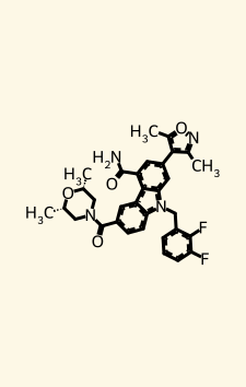 Cc1noc(C)c1-c1cc(C(N)=O)c2c3cc(C(=O)N4C[C@@H](C)O[C@@H](C)C4)ccc3n(Cc3cccc(F)c3F)c2c1